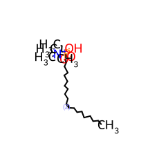 CCCCCCCC/C=C\CCCCCCCCCOP(=O)(O)C(CC)[N+](C)(C)C